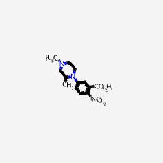 CC1CN(C)CCN1c1ccc([N+](=O)[O-])c(C(=O)O)c1